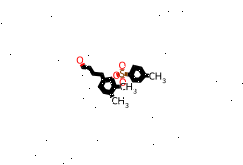 Cc1ccc(S(=O)(=O)Oc2c(CCCC=O)ccc(C)c2C)cc1